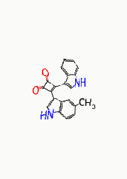 Cc1ccc2[nH]cc(-c3c(-c4c[nH]c5ccccc45)c(=O)c3=O)c2c1